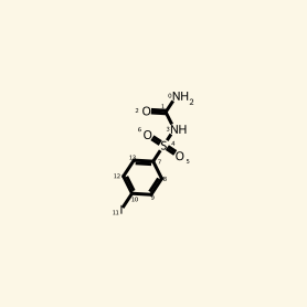 NC(=O)NS(=O)(=O)c1ccc(I)cc1